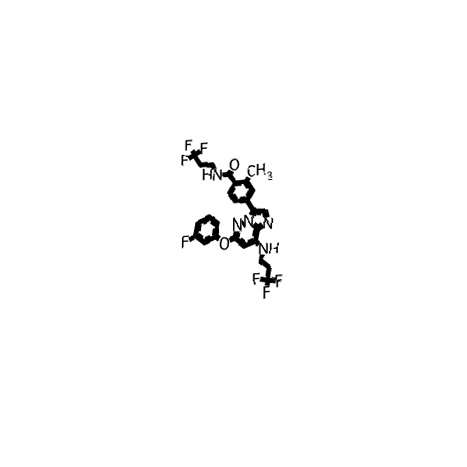 Cc1cc(-c2cnc3c(NCCC(F)(F)F)cc(Oc4cccc(F)c4)nn23)ccc1C(=O)NCCC(F)(F)F